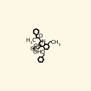 CCc1ccc(OCc2ccccc2)c2c(CP(=O)(O)O)cc(-c3oc4ccccc4c3C)nc12